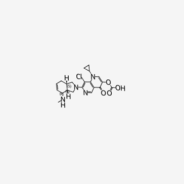 CN[C@@H]1C=CC[C@@H]2CN(c3ncc4c(=O)c(OC(=O)O)cn(C5CC5)c4c3Cl)C[C@@H]21